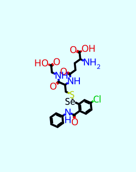 NC(CCC(=O)NC(CS[Se]c1cc(Cl)ccc1C(=O)Nc1ccccc1)C(=O)NCC(=O)O)C(=O)O